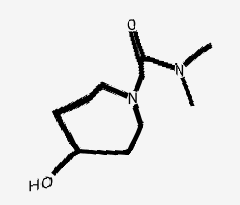 CN(C)C(=O)N1CCC(O)CC1